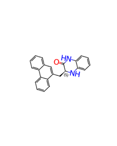 O=C1Nc2ccccc2N[C@H]1Cc1cc2ccccc2c2ccccc12